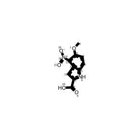 COc1ccc2[nH]c(C(=O)O)cc2c1[N+](=O)[O-]